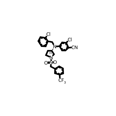 N#Cc1ccc(N(Cc2ccccc2Cl)[C@H]2CCN(S(=O)(=O)Cc3cccc(C(F)(F)F)c3)C2)cc1Cl